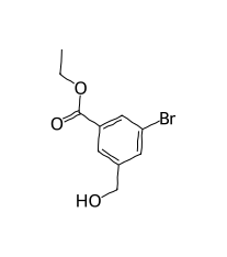 CCOC(=O)c1cc(Br)cc(CO)c1